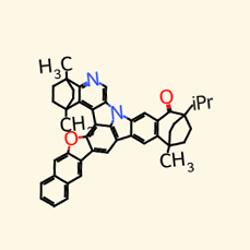 CC(C)C12CCC(C)(CC1)c1cc3c4cc5c6cc7ccccc7cc6oc5c5c6c7c(ncc6n(c3cc1C2=O)c45)C1(C)CCC7(C)CC1